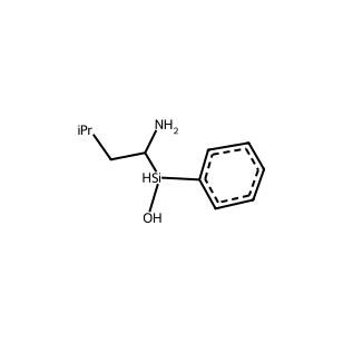 CC(C)CC(N)[SiH](O)c1ccccc1